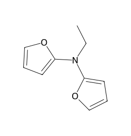 CCN(c1ccco1)c1ccco1